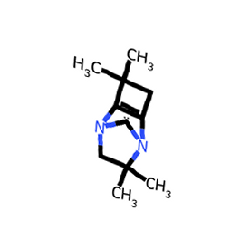 CC1(C)CC2=C1N1[C]N2C(C)(C)C1